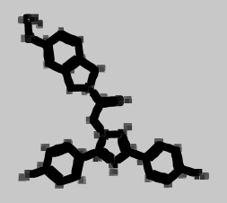 COc1ccc2c(c1)CN(C(=O)Cn1nc(-c3ccc(F)cc3)nc1-c1ccc(F)cc1)C2